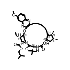 CC[C@@H]1[C@@H]2CN(C(=O)[C@H](C(C)(C)C)NC(=O)O[C@@H]3C[C@H](C)[C@H](C)[C@H]3CCCCCc3nc4ccc(OC)cc4nc3O2)[C@@H]1C(=O)OCC(C)C